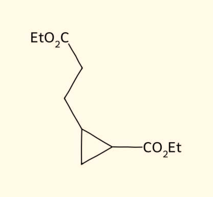 CCOC(=O)CCC1CC1C(=O)OCC